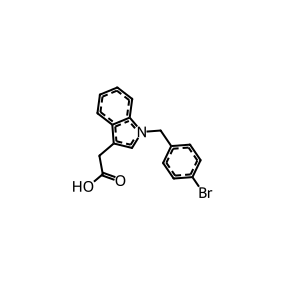 O=C(O)Cc1cn(Cc2ccc(Br)cc2)c2ccccc12